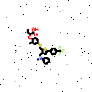 CCC(Oc1ccc(SCc2sc(-c3ccc(C(F)(F)F)cc3)cc2CN(C)c2ccccc2)cc1C)C(=O)O